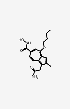 CCCCOc1cc(C(=O)NO)ccc2c(CC(N)=O)c(C)cc1-2